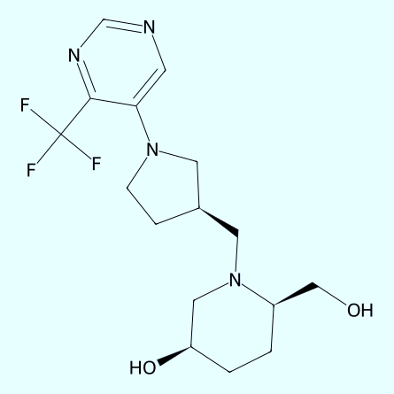 OC[C@H]1CC[C@@H](O)CN1C[C@H]1CCN(c2cncnc2C(F)(F)F)C1